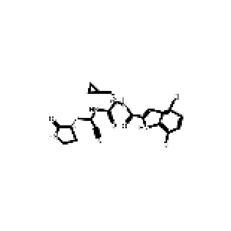 N#CC(C[C@@H]1CCNC1=O)NC(=O)[C@H](CC1CC1)NC(=O)c1cc2c(Cl)ccc(Cl)c2[nH]1